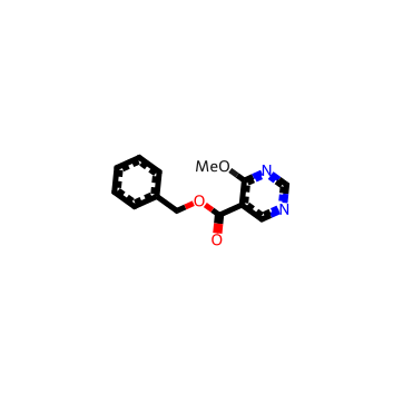 COc1ncncc1C(=O)OCc1ccccc1